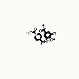 COC(=O)c1cc(Cl)c(OC)c(N[C@@H](C)C2CCN(C(=O)O)CC2)c1